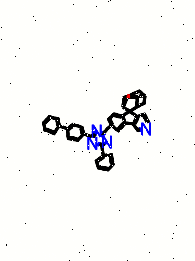 c1ccc(-c2ccc(-c3nc(-c4ccccc4)nc(-c4ccc5c(c4)-c4cnccc4C54C5CC6CC(C5)CC4C6)n3)cc2)cc1